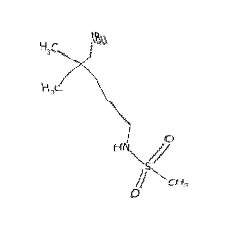 CC(C)(C)C(C)(C)CCCNS(C)(=O)=O